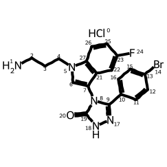 Cl.NCCCn1cc(-n2c(-c3ccc(Br)cc3)n[nH]c2=O)c2cc(F)ccc21